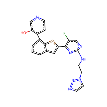 Oc1cnccc1-c1cccc2cc(-c3nc(NCCn4ccnn4)ncc3F)sc12